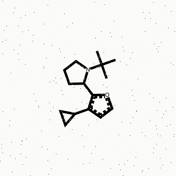 CC(C)(C)N1CCCC1c1occc1C1CC1